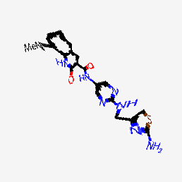 CNc1cccc2cc(C(=O)Nc3cnc(NCc4csc(N)n4)nc3)c(=O)[nH]c12